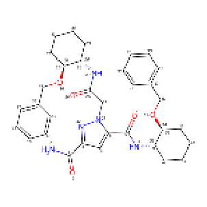 NC(=O)c1cc(C(=O)N[C@H]2CCCC[C@@H]2OCc2ccccc2)n(CC(=O)N[C@H]2CCCC[C@@H]2OCc2ccccc2)n1